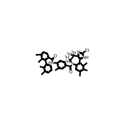 [2H]C1([2H])c2nc(CC)[nH]c2-c2c(cc(C)c(C)c2C)N(C(=O)c2ccc(NC(=O)c3ccc(C)c(C)c3-c3cccc(C)c3C)c(C)c2)C1([2H])[2H]